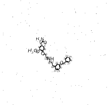 COc1cc(CC(N)=O)ccc1OCCNCCCc1cccc(OCc2ccccc2)c1